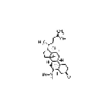 C=C(O)CC[C@@H](C)[C@H]1CC[C@H]2[C@@H]3CC(NC(C)C)[C@@H]4CC(=O)CC[C@]4(C)[C@H]3CC[C@]12C